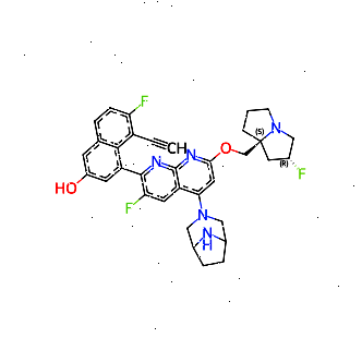 C#Cc1c(F)ccc2cc(O)cc(-c3nc4nc(OC[C@@]56CCCN5C[C@H](F)C6)cc(N5CC6CCC(C5)N6)c4cc3F)c12